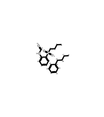 CCCCS(=O)(=O)c1ccccc1OC=O.CCCCc1ccccc1